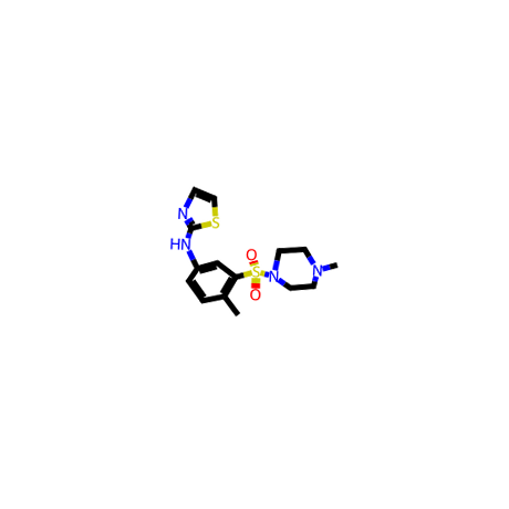 Cc1ccc(Nc2nccs2)cc1S(=O)(=O)N1CCN(C)CC1